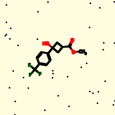 COC(=O)[C@H]1C[C@@](O)(c2ccc(C(F)(F)F)cc2)C1